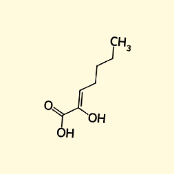 CCCCC=C(O)C(=O)O